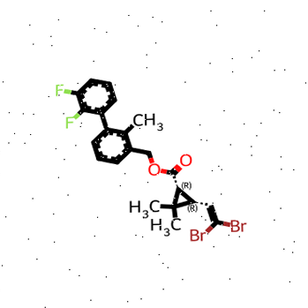 Cc1c(COC(=O)[C@@H]2[C@H](C=C(Br)Br)C2(C)C)cccc1-c1cccc(F)c1F